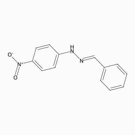 O=[N+]([O-])c1ccc(NN=Cc2ccccc2)cc1